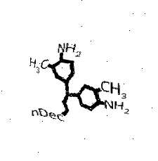 CCCCCCCCCCCCC(C1CCC(N)C(C)C1)C1CCC(N)C(C)C1